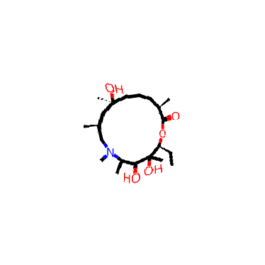 CC[C@@H]1OC(=O)[C@H](C)CCC[C@](C)(O)C[C@H](C)CN(C)C(C)C(O)C1(C)O